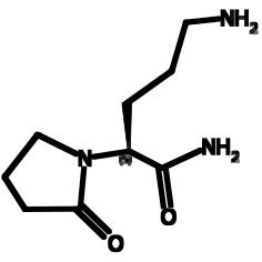 NCCC[C@@H](C(N)=O)N1CCCC1=O